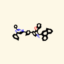 c1ccc(-c2cc(-c3ccc(-c4ccc5nc(-c6cc7ccccc7c7ccccc67)c6c7ccccc7oc6c5c4)cc3)nc(-c3ccccc3)n2)cc1